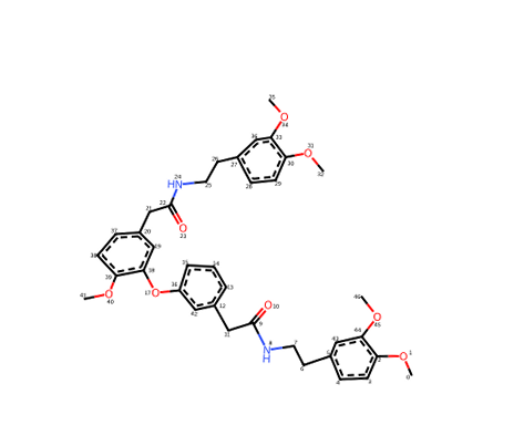 COc1ccc(CCNC(=O)Cc2cccc(Oc3cc(CC(=O)NCCc4ccc(OC)c(OC)c4)ccc3OC)c2)cc1OC